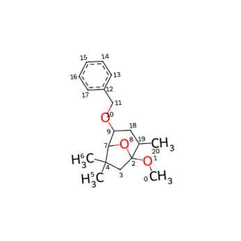 COC12CC(C)(C)C(O1)C(OCc1ccccc1)CC2C